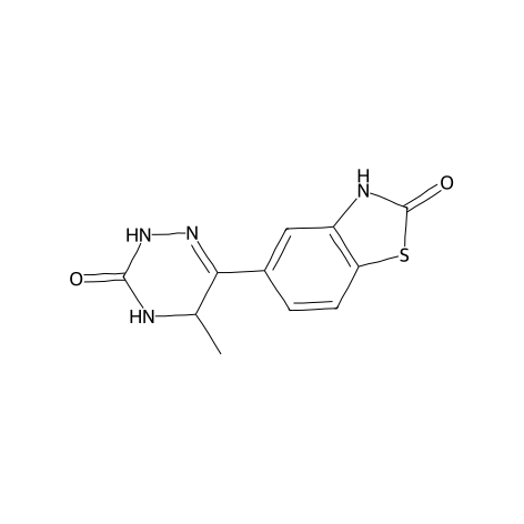 CC1NC(=O)NN=C1c1ccc2sc(=O)[nH]c2c1